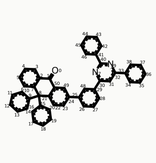 O=C1c2ccccc2C(c2ccccc2)(c2ccccc2)c2ccc(-c3cccc(-c4cc(-c5ccccc5)nc(-c5ccccc5)n4)c3)cc21